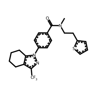 CN(CCc1cccs1)C(=O)c1ccc(-n2nc(C(F)(F)F)c3c2CCCC3)cc1